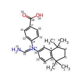 CC1(C)CCC(C)(C)c2cc([N+](=CN)c3ccc(C(=O)O)cc3)ccc21